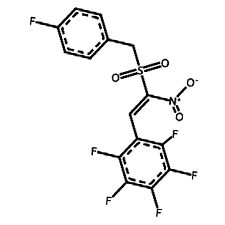 O=[N+]([O-])/C(=C\c1c(F)c(F)c(F)c(F)c1F)S(=O)(=O)Cc1ccc(F)cc1